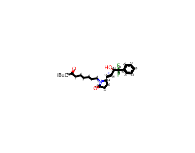 CC(C)COC(=O)CCCCCCN1C(=O)CC[C@@H]1/C=C/[C@@H](O)C(F)(F)c1ccccc1